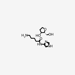 NCCCCC(=O)Nc1c[nH]cn1.OC[C@H]1OCC[C@@H]1O